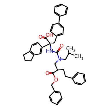 CC(C)CN(CC(CCc1ccccc1)C(=O)OCc1ccccc1)C(=O)N[C@](Cc1ccc(-c2ccccc2)cc1)(C(=O)O)c1ccc2c(c1)CCC2